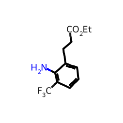 CCOC(=O)CCc1cccc(C(F)(F)F)c1N